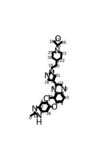 Cc1nc2ccc(Oc3ccc4ncc(-c5cnn(CCC6CCN(C7COC7)CC6)c5)nc4c3Cl)cc2[nH]1